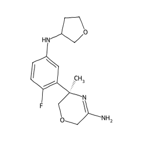 C[C@@]1(c2cc(NC3CCOC3)ccc2F)COCC(N)=N1